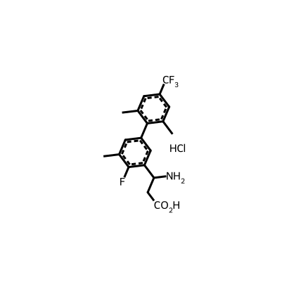 Cc1cc(-c2c(C)cc(C(F)(F)F)cc2C)cc(C(N)CC(=O)O)c1F.Cl